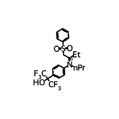 CCCN(c1ccc(C(O)(C(F)(F)F)C(F)(F)F)cc1)[C@H](CC)CS(=O)(=O)c1ccccc1